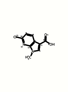 Cn1cc(C(=O)O)c2ccc(Cl)nc21